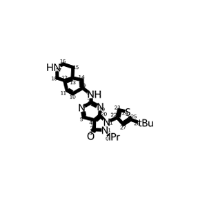 CC(C)n1c(=O)c2cnc(Nc3ccc4c(c3)CCNC4)nc2n1-c1csc(C(C)(C)C)c1